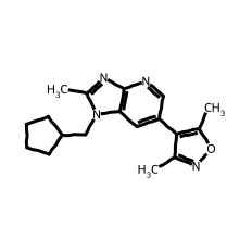 Cc1noc(C)c1-c1cnc2nc(C)n(CC3CCCC3)c2c1